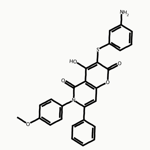 COc1ccc(-n2c(-c3ccccc3)cc3oc(=O)c(Sc4cccc(N)c4)c(O)c3c2=O)cc1